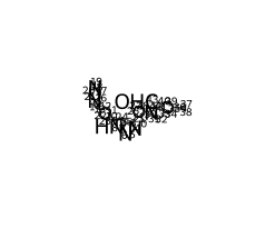 Cc1c(-c2ncnc3[nH]c(-c4ccc(CN5CCN(C)CC5)cc4)cc23)cccc1N1CCc2cc(C3CC3)ccc2C1C=O